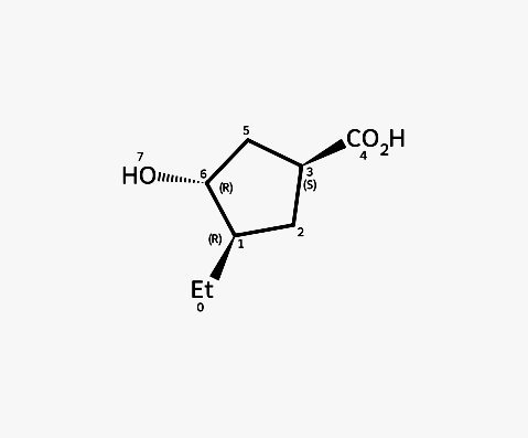 CC[C@@H]1C[C@H](C(=O)O)C[C@H]1O